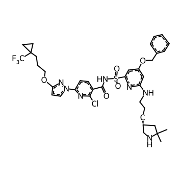 CC1(C)C[C@H](CCCNc2cc(OCc3ccccc3)cc(S(=O)(=O)NC(=O)c3ccc(-n4ccc(OCCCC5(C(F)(F)F)CC5)n4)nc3Cl)n2)CN1